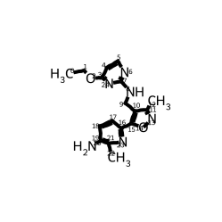 CCOc1ccnc(NCc2c(C)noc2-c2ccc(N)c(C)n2)n1